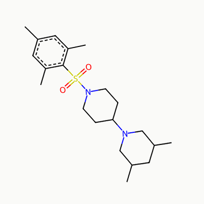 Cc1cc(C)c(S(=O)(=O)N2CCC(N3CC(C)CC(C)C3)CC2)c(C)c1